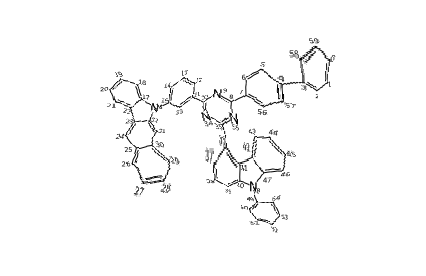 c1ccc(-c2ccc(-c3nc(-c4cccc(-n5c6ccccc6c6cc7ccccc7cc65)c4)nc(-c4cccc5c4c4ccccc4n5-c4ccccc4)n3)cc2)cc1